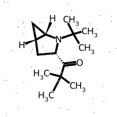 CC(C)(C)C(=O)[C@@H]1C[C@@H]2C[C@@H]2N1C(C)(C)C